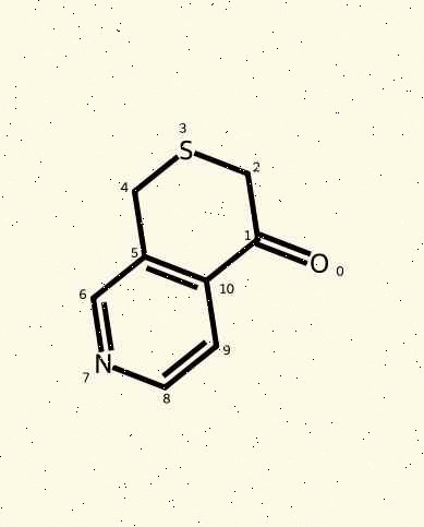 O=C1CSCc2cnccc21